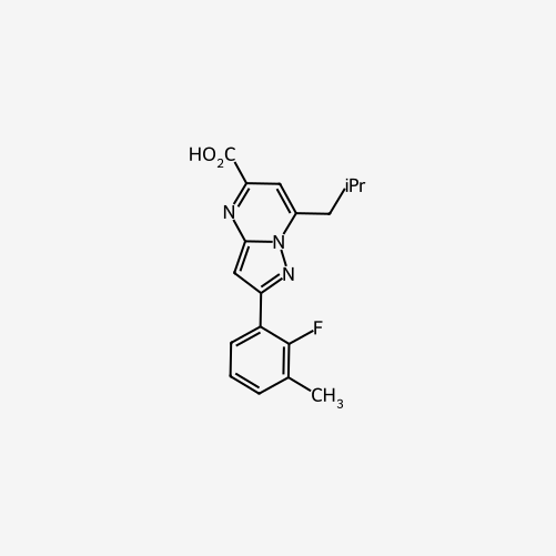 Cc1cccc(-c2cc3nc(C(=O)O)cc(CC(C)C)n3n2)c1F